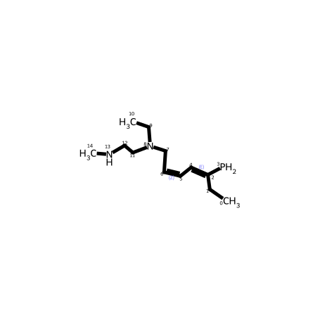 CC/C(P)=C\C=C/CN(CC)CCNC